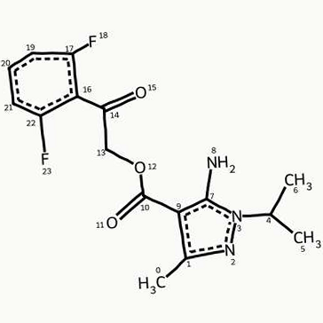 Cc1nn(C(C)C)c(N)c1C(=O)OCC(=O)c1c(F)cccc1F